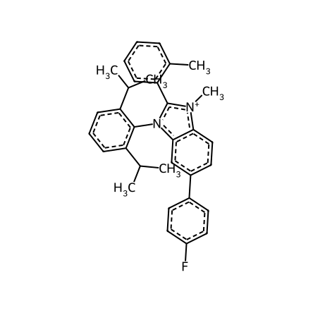 Cc1ccccc1-c1n(-c2c(C(C)C)cccc2C(C)C)c2cc(-c3ccc(F)cc3)ccc2[n+]1C